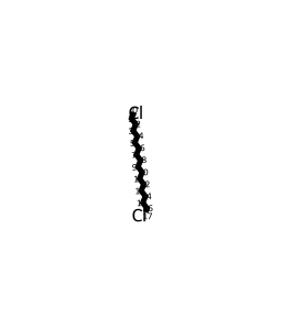 ClCCCCCCCCCCCCCCCCCl